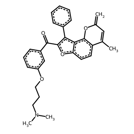 C=C1C=C(C)c2ccc3oc(C(=O)c4cccc(OCCCN(C)C)c4)c(-c4ccccc4)c3c2O1